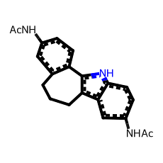 CC(=O)Nc1ccc2c(c1)CCCc1c-2[nH]c2ccc(NC(C)=O)cc12